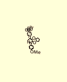 CCCS(=O)(=O)N1CCN(c2cnn(-c3ccc(OC)cc3)c(=O)c2OC2CCCC2)CC1